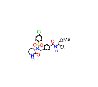 CCC(COC)NC(=O)c1ccc(CN([C@@H]2CCCCNC2=O)S(=O)(=O)c2ccc(Cl)cc2)cc1